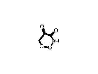 O=C1BOOCC1=O